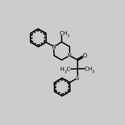 CC1CN(C(=O)C(C)(C)Sc2ccccc2)CCN1c1ccccc1